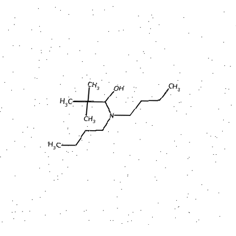 CCCCN(CCCC)C(O)C(C)(C)C